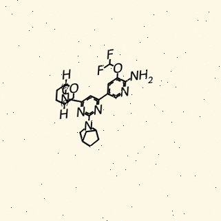 Nc1ncc(-c2cc(N3C[C@@H]4CC[C@H]3CO4)nc(N3CC4CCC3C4)n2)cc1OC(F)F